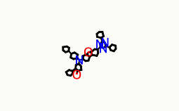 c1ccc(-c2ccc(N(c3ccc4c(c3)oc3cc(-c5nc(-c6ccccc6)nc(-c6ccccc6)n5)ccc34)c3ccc4oc5ccccc5c4c3)cc2)cc1